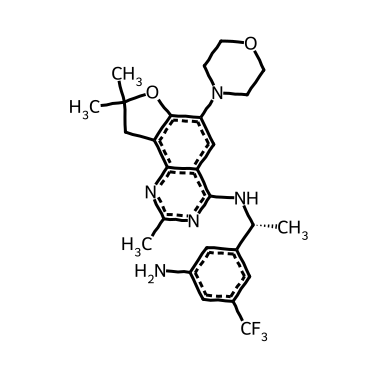 Cc1nc(N[C@H](C)c2cc(N)cc(C(F)(F)F)c2)c2cc(N3CCOCC3)c3c(c2n1)CC(C)(C)O3